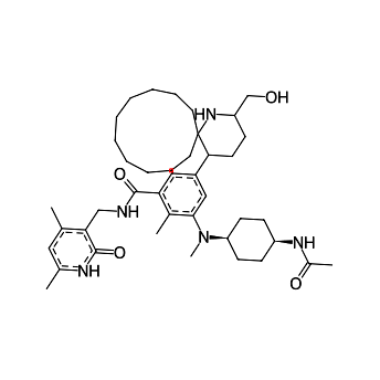 CC(=O)N[C@H]1CC[C@@H](N(C)c2cc(C3CCC(CO)NC34CCCCCCCCCC4)cc(C(=O)NCc3c(C)cc(C)[nH]c3=O)c2C)CC1